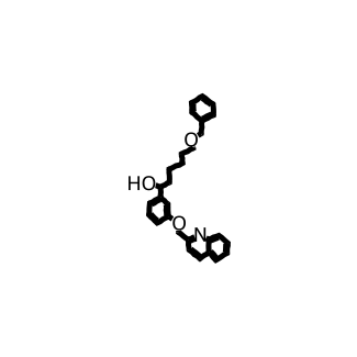 OC(CCCCCOCc1ccccc1)c1cccc(OCc2ccc3ccccc3n2)c1